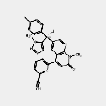 C#Cc1cccc(-c2cc(=O)n(C)c3ncc([C@](Cl)(c4ccc(I)cc4)c4cnnn4C)cc23)n1